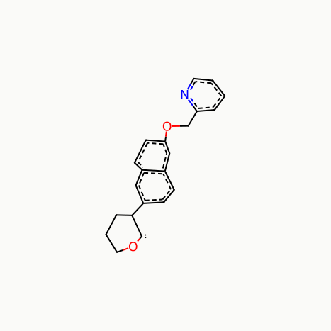 [C]1OCCCC1c1ccc2cc(OCc3ccccn3)ccc2c1